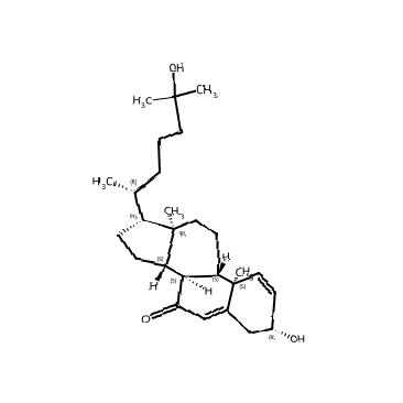 C[C@H](CCCC(C)(C)O)[C@H]1CC[C@H]2[C@@H]3C(=O)C=C4C[C@@H](O)C=C[C@]4(C)[C@H]3CC[C@]12C